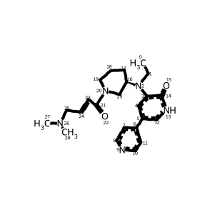 CCN(c1cc(-c2ccncc2)c[nH]c1=O)[C@@H]1CCCN(C(=O)C=CCN(C)C)C1